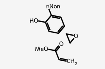 C1CO1.C=CC(=O)OC.CCCCCCCCCc1ccccc1O